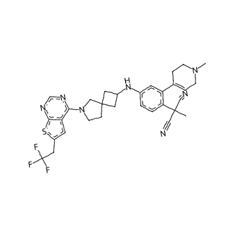 CN1CC=C(c2cc(NC3CC4(CCN(c5ncnc6sc(CC(F)(F)F)cc56)C4)C3)ccc2C(C)(C#N)C#N)CC1